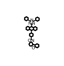 c1ccc(-c2nc(-c3ccccc3)nc(-c3c4ccccc4c(-c4ccc(-c5nc6c(ccc7oc8ccccc8c76)o5)cc4)c4ccccc34)n2)cc1